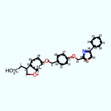 O=C(O)CC1COc2cc(OCc3ccc(OCc4nc(-c5ccccc5)cs4)cc3)ccc21